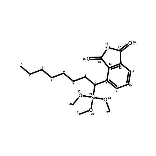 CCCCCCCC(c1cccc2c1C(=O)OC2=O)[Si](OC)(OC)OC